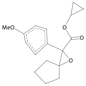 COc1ccc(C2(C(=O)OC3CC3)OC23CCCC3)cc1